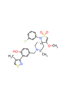 COC1=CS(=O)(=O)N(c2cccc(F)c2)[C@@]12CCN(Cc1ccc(O)c(-c3nscc3C)c1)[C@@H](C)C2